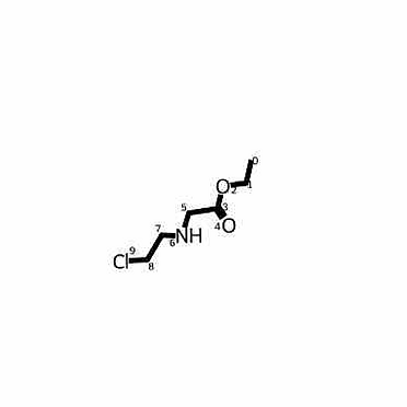 CCOC(=O)CNCCCl